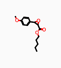 CCCCCOC(=O)C1OC1c1ccc(OC)cc1